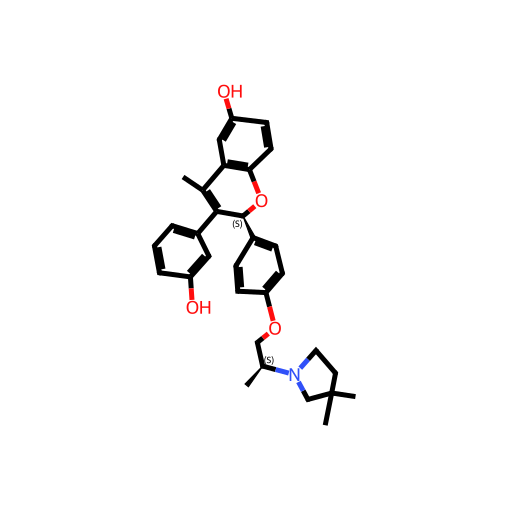 CC1=C(c2cccc(O)c2)[C@H](c2ccc(OC[C@H](C)N3CCC(C)(C)C3)cc2)Oc2ccc(O)cc21